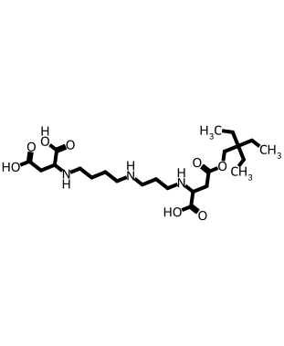 CCC(CC)(CC)COC(=O)CC(NCCCNCCCCNC(CC(=O)O)C(=O)O)C(=O)O